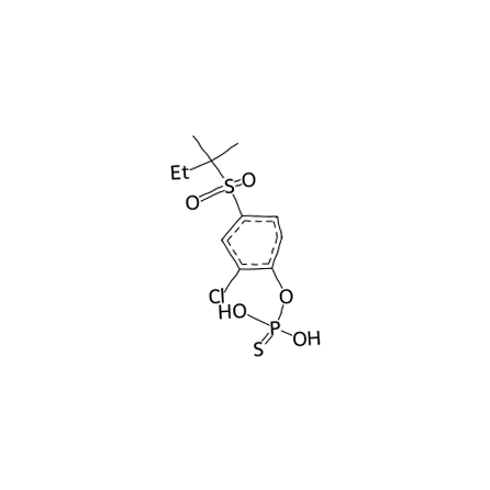 CCC(C)(C)S(=O)(=O)c1ccc(OP(O)(O)=S)c(Cl)c1